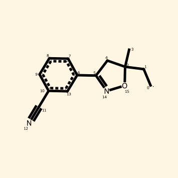 [CH2]CC1(C)CC(c2cccc(C#N)c2)=NO1